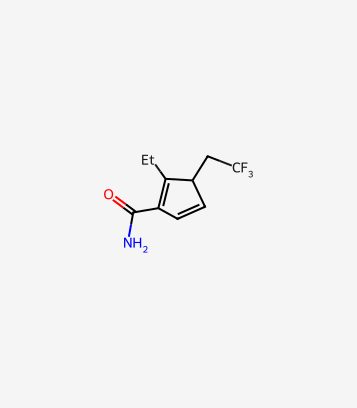 CCC1=C(C(N)=O)C=CC1CC(F)(F)F